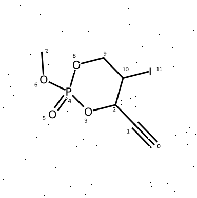 C#CC1OP(=O)(OC)OCC1I